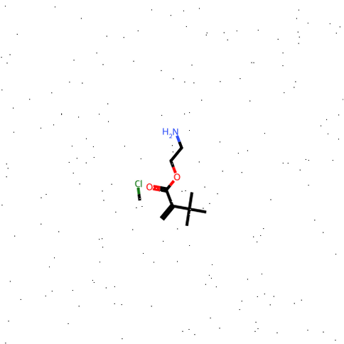 C=C(C(=O)OCCN)C(C)(C)C.CCl